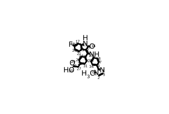 Cn1ccnc1-c1ccc(N/C(=C2\C(=O)Nc3cc(F)ccc32)c2ccc(CC(=O)O)cc2)cc1